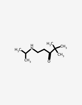 CC(C)NCCC(=O)C(C)(C)C